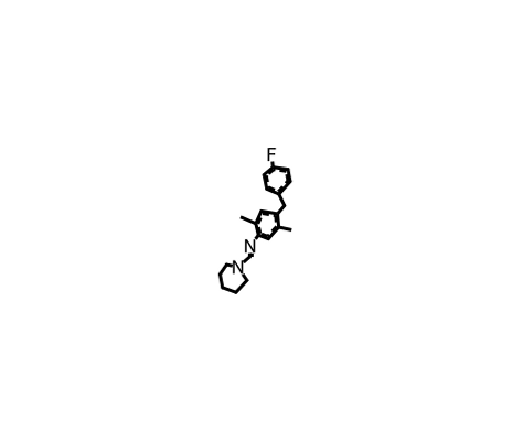 Cc1cc(N=CN2CCCCC2)c(C)cc1Cc1ccc(F)cc1